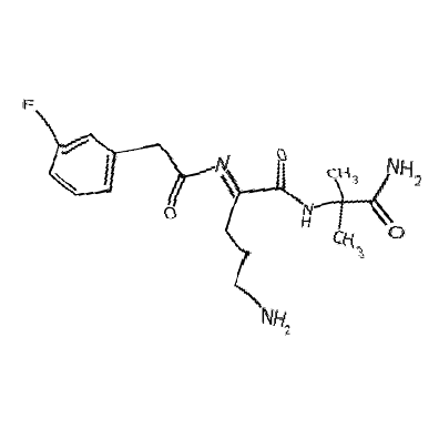 CC(C)(NC(=O)/C(CCCN)=N/C(=O)Cc1cccc(F)c1)C(N)=O